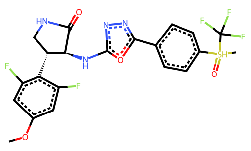 COc1cc(F)c([C@@H]2CNC(=O)[C@H]2Nc2nnc(-c3ccc([SH](C)(=O)C(F)(F)F)cc3)o2)c(F)c1